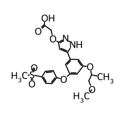 COCC(C)Oc1cc(Oc2ccc(S(C)(=O)=O)cc2)cc(-c2cc(OCC(=O)O)n[nH]2)c1